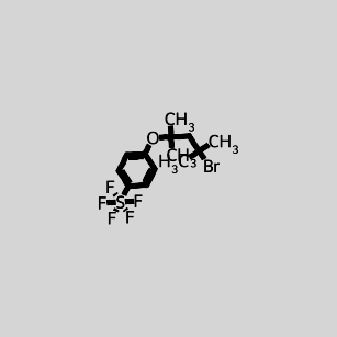 CC(C)(Br)CC(C)(C)Oc1ccc(S(F)(F)(F)(F)F)cc1